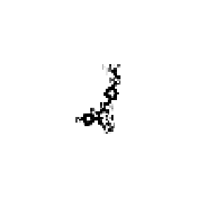 C[C@@H](c1nc(-c2ccc(-c3nc(C(F)(F)C(F)(F)F)cs3)cc2)ns1)[C@](O)(Cn1cncn1)c1ccc(F)cc1F